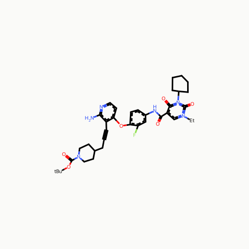 CCn1cc(C(=O)Nc2ccc(Oc3ccnc(N)c3C#CCC3CCN(C(=O)OC(C)(C)C)CC3)c(F)c2)c(=O)n(C2CCCCC2)c1=O